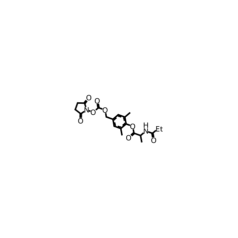 CCC(=O)NC(C)C(=O)Oc1c(C)cc(COC(=O)ON2C(=O)CCC2=O)cc1C